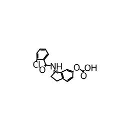 O=C(O)Oc1ccc2c(c1)[C@H](NC(=O)c1ccccc1Cl)CC2